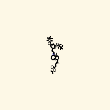 CC(C)OC(=O)CC[C@@H](C)[C@H]1CC[C@H]2/C(=C/C=C3C[C@@H](O[Si](C)(C)C(C)(C)C)C[C@H](O[Si](C)(C)C(C)(C)C)C3)CCC[C@]12C